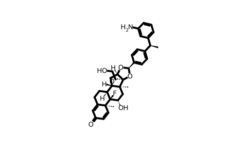 C[C@@H](c1ccc([C@@H]2O[C@@H]3C[C@H]4[C@@H]5CCC6=CC(=O)C=C[C@]6(C)[C@@]5(F)[C@@H](O)C[C@]4(C)[C@]3(C(=O)CO)O2)cc1)c1cccc(N)c1